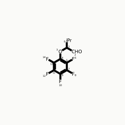 CC(C)C(C=O)Oc1c(F)c(F)c(F)c(F)c1F